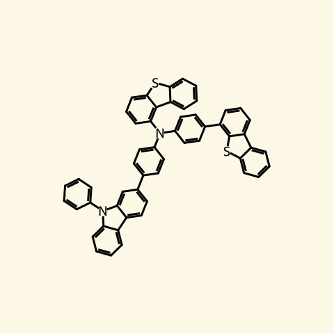 c1ccc(-n2c3ccccc3c3ccc(-c4ccc(N(c5ccc(-c6cccc7c6sc6ccccc67)cc5)c5cccc6sc7ccccc7c56)cc4)cc32)cc1